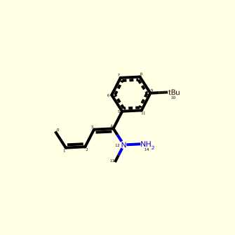 C/C=C\C=C(\c1cccc(C(C)(C)C)c1)N(C)N